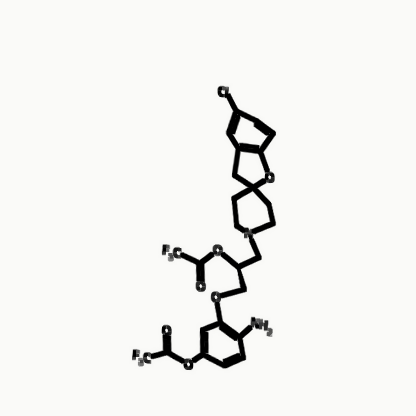 Nc1ccc(OC(=O)C(F)(F)F)cc1OC[C@H](CN1CCC2(CC1)Cc1cc(Cl)ccc1O2)OC(=O)C(F)(F)F